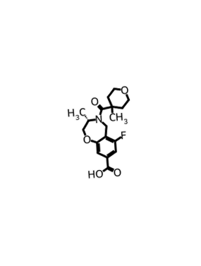 C[C@H]1COc2cc(C(=O)O)cc(F)c2CN1C(=O)C1(C)CCOCC1